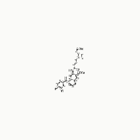 COCC1CCN1CC=CC(=O)Nc1cc2c(Nc3ccc(F)c(Cl)c3)ncnc2cc1OC